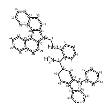 NC(c1ccccc1NCn1c2ccc3ccccc3c2c2c3ccccc3ccc21)C1C=c2c(c3ccccc3n2-c2ccccc2)=CC1